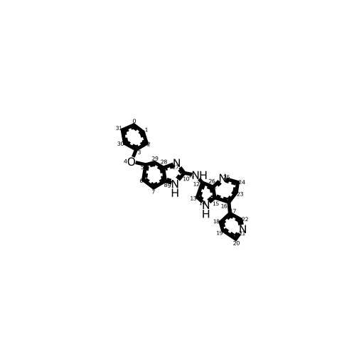 c1ccc(Oc2ccc3[nH]c(Nc4c[nH]c5c(-c6cccnc6)ccnc45)nc3c2)cc1